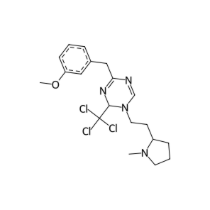 COc1cccc(CC2=NC(C(Cl)(Cl)Cl)N(CCC3CCCN3C)C=N2)c1